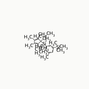 CC1=C(C)C(C)([Si](C)(CC(C)C)c2cc(C)cc([Si](C)(C)C)c2)[C]([Ti]([CH3])([CH3])[CH3])=C1C